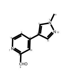 Cn1cc(-c2ccnc(C=O)c2)cn1